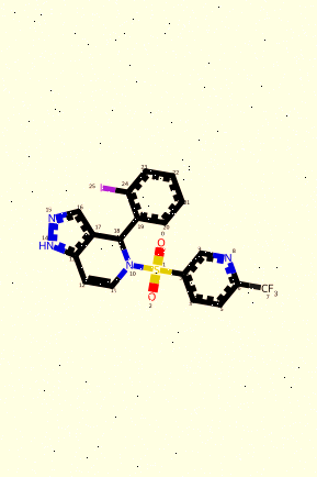 O=S(=O)(c1ccc(C(F)(F)F)nc1)N1C=Cc2[nH]ncc2C1c1ccccc1I